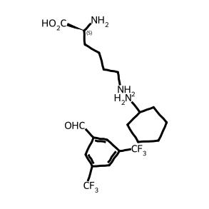 NC1CCCCC1.NCCCC[C@H](N)C(=O)O.O=Cc1cc(C(F)(F)F)cc(C(F)(F)F)c1